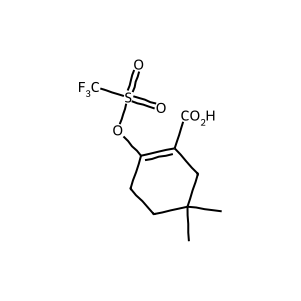 CC1(C)CCC(OS(=O)(=O)C(F)(F)F)=C(C(=O)O)C1